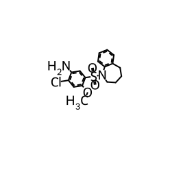 COc1cc(Cl)c(N)cc1S(=O)(=O)N1CCCCc2ccccc21